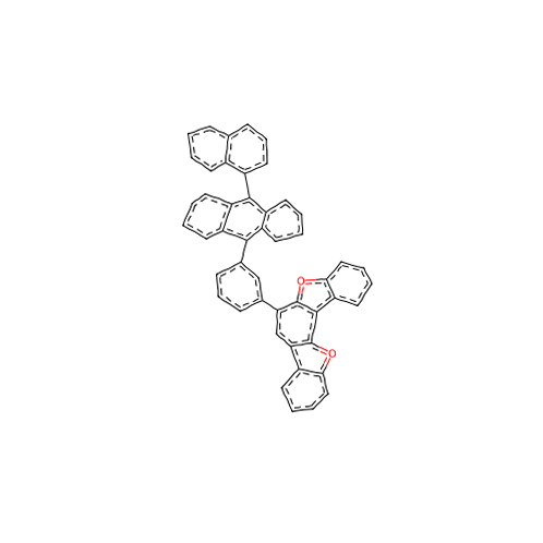 c1cc(-c2c3ccccc3c(-c3cccc4ccccc34)c3ccccc23)cc(-c2cc3c4ccccc4oc3c3c2oc2ccccc23)c1